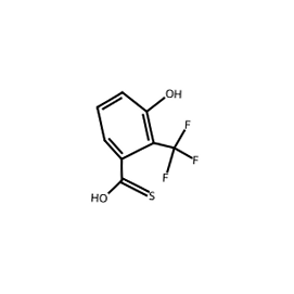 OC(=S)c1cccc(O)c1C(F)(F)F